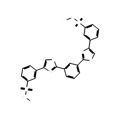 CCNS(=O)(=O)c1cccc(-c2c[nH]c(-c3cccc(-c4nc(-c5cccc(S(=O)(=O)NCC)c5)c[nH]4)c3)n2)c1